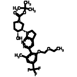 CCOCOc1cc(C(F)(F)F)cc(C)c1-c1cc2c(nn1)N([C@H]1CN(C(=O)OC(C)(C)C)CC[C@H]1O)CC2